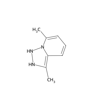 CC1=CC=CC2=C(C)NNN12